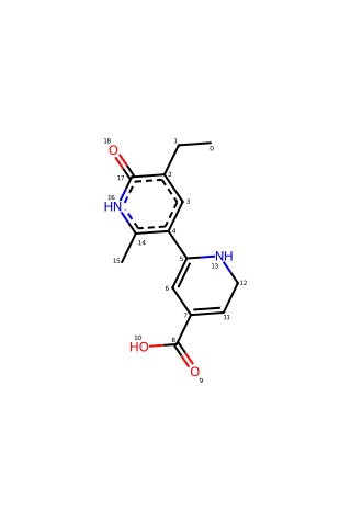 CCc1cc(C2=CC(C(=O)O)=CCN2)c(C)[nH]c1=O